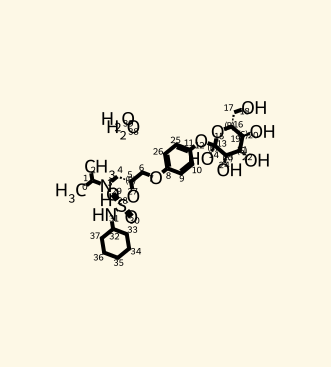 CC(C)NC[C@H](COc1ccc(O[C@]2(O)O[C@H](CO)[C@@H](O)[C@H](O)[C@H]2O)cc1)OS(=O)(=O)NC1CCCCC1.O.O